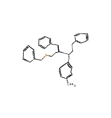 Cc1ccc(C(CCc2ccccc2)C(CSCc2ccccc2)Cc2ccccc2)cc1